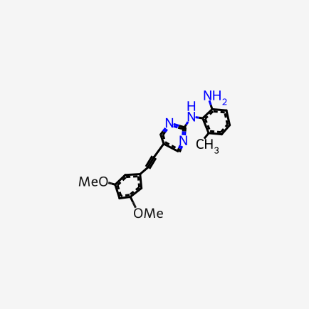 COc1cc(C#Cc2cnc(Nc3c(C)cccc3N)nc2)cc(OC)c1